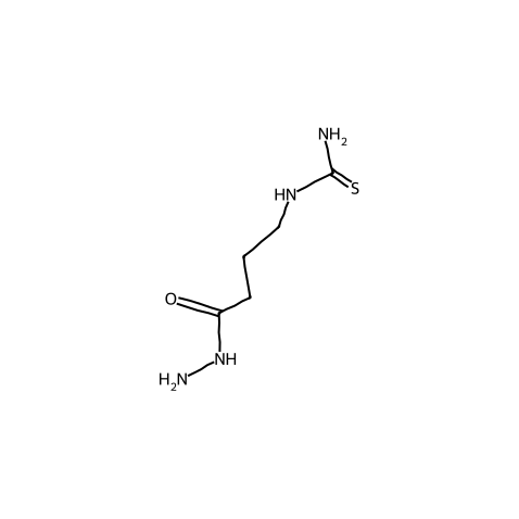 NNC(=O)CCCNC(N)=S